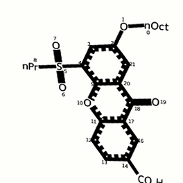 CCCCCCCCOc1cc(S(=O)(=O)CCC)c2oc3ccc(C(=O)O)cc3c(=O)c2c1